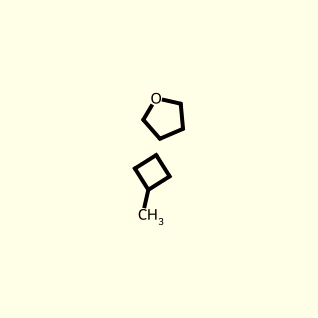 C1CCOC1.CC1CCC1